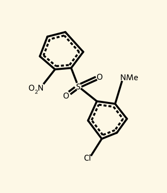 CNc1ccc(Cl)cc1S(=O)(=O)c1ccccc1[N+](=O)[O-]